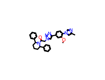 COc1cc(-c2cn(CC(=O)N3C(c4ccccc4)CCCC3c3ccccc3)nn2)ccc1-n1cnc(C)c1